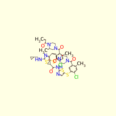 C=CC(=O)N1CCN(C(=O)c2cc(Sc3sc(NCC4CC4)nc3/C=C\C(=O)N3CCN(C(=O)c4cc(Sc5cnc(NC(=O)C6CC6)s5)c(Cl)cc4C)CC3)c(Cl)cc2C)C[C@H]1C